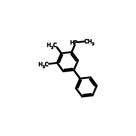 CPc1cc(-c2ccccc2)cc(C)c1C